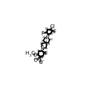 COc1cc(N2CCC3(CCN(c4cc(F)c(Cl)cc4F)CC3)CC2)c(F)cc1[N+](=O)[O-]